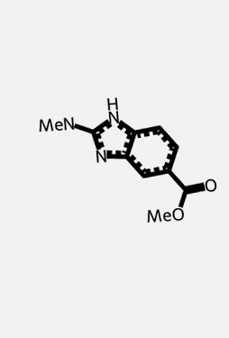 CNc1nc2cc(C(=O)OC)ccc2[nH]1